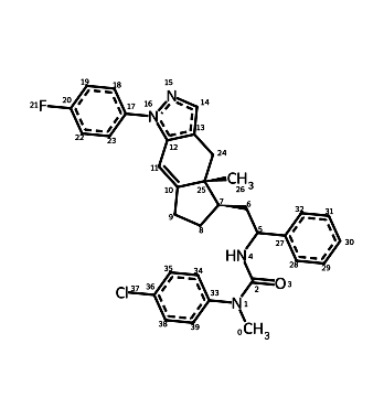 CN(C(=O)NC(C[C@H]1CCC2=Cc3c(cnn3-c3ccc(F)cc3)C[C@@]21C)c1ccccc1)c1ccc(Cl)cc1